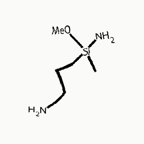 CO[Si](C)(N)CCN